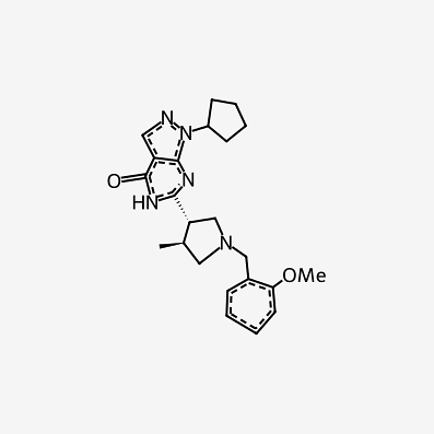 COc1ccccc1CN1C[C@@H](C)[C@H](c2nc3c(cnn3C3CCCC3)c(=O)[nH]2)C1